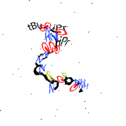 CC(C)[C@H](NC(=O)OC(C)(C)C)C(=O)N[C@H](C(=O)OCC(=O)N1CCN(Cc2ccc(-c3cc4nccc(Oc5ccc(NC(=O)NC6CC6)cc5F)c4s3)nc2)CC1)C(C)C